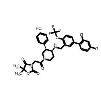 CC1(C)OC(=O)N(CC(=O)N2CC[C@H](NCc3cc(-c4ccc(Cl)cc4Cl)ccc3OC(F)(F)F)[C@H](c3ccccc3)C2)C1=O.Cl